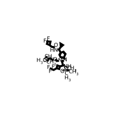 CC(C)(C)[S@@+]([O-])N[C@H](c1nc2ccc([C@H](NC(=O)CC3CC(F)(F)C3)C3CC3)cc2n1COCC[Si](C)(C)C)C1CC(CC(F)(F)F)C1